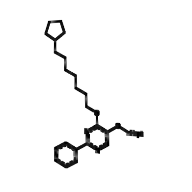 CCCCCCCOc1cnc(-c2ccccc2)nc1OCCCCCCCC1CCCC1